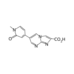 Cn1ccc(-c2cnc3nc(C(=O)O)cn3c2)cc1=O